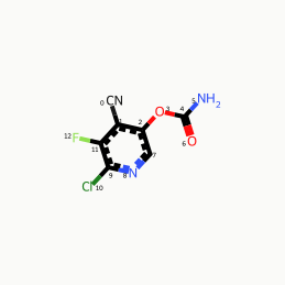 N#Cc1c(OC(N)=O)cnc(Cl)c1F